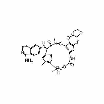 Cc1cc2ccc1[C@@H](C)COC(=O)Nc1cc(F)c(O[C@H]3CCOC3)c(c1)CN(C)C(=O)C2Nc1ccc2c(N)nccc2c1